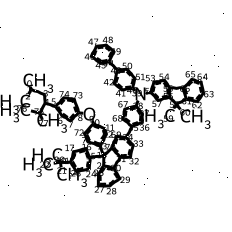 CC(C)CC(c1ccc(Oc2ccc(C3(c4ccc(C(C)(C)C)cc4)c4ccccc4-c4ccc(-c5ccc(N(c6ccc(-c7ccccc7)cc6)c6ccc7c(c6)C(C)(C)c6ccccc6-7)cc5)cc43)cc2)cc1)C(C)C